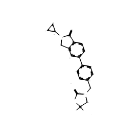 CC1(C)CN(Cc2ccc(-c3ccc4c(c3)CN(C3CC3)C4=O)cc2)C(=O)O1